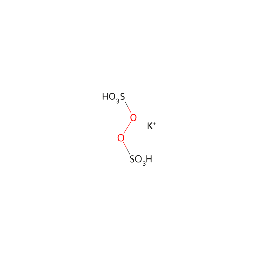 O=S(=O)(O)OOS(=O)(=O)O.[K+]